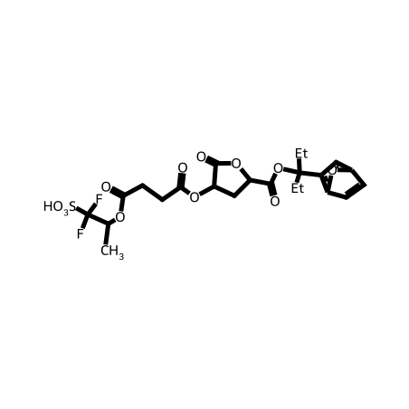 CCC(CC)(OC(=O)C1CC(OC(=O)CCC(=O)OC(C)C(F)(F)S(=O)(=O)O)C(=O)O1)c1cc2ccc1o2